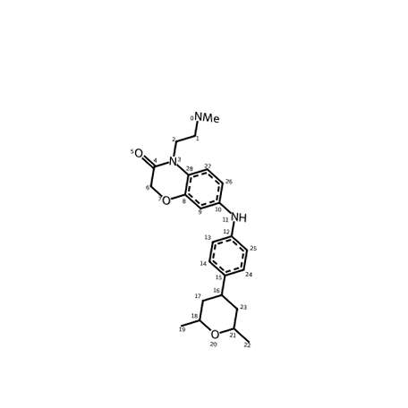 CNCCN1C(=O)COc2cc(Nc3ccc(C4CC(C)OC(C)C4)cc3)ccc21